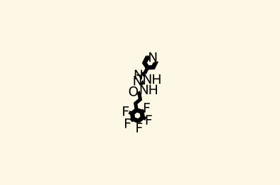 O=C(CCc1c(F)c(F)c(F)c(F)c1F)Nc1nnc(-c2ccncc2)[nH]1